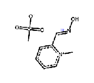 CS(=O)(=O)[O-].C[n+]1ccccc1/C=N/O